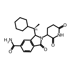 C[C@H](C1CCCCC1)C1c2cc(C(N)=O)ccc2C(=O)N1C1CCC(=O)NC1=O